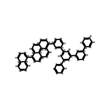 c1ccc(-c2cc(-c3cccc(-c4ccncc4)c3)nc(-c3cccc(-c4ccc5ccc6c(-c7cccc8ccccc78)ccc7ccc4c5c76)c3)n2)cc1